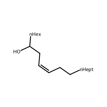 CCCCCCCCC/C=C\CC(O)CCCCCC